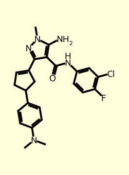 CN(C)c1ccc(C2CC=C(c3nn(C)c(N)c3C(=O)Nc3ccc(F)c(Cl)c3)C2)cc1